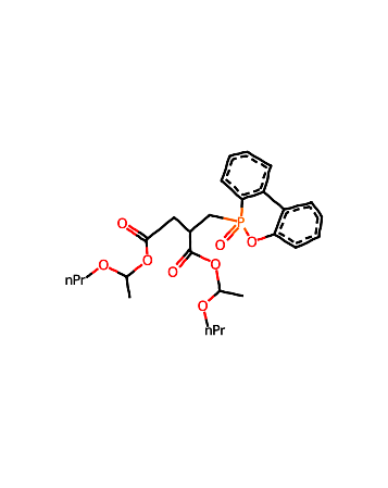 CCCOC(C)OC(=O)CC(CP1(=O)Oc2ccccc2-c2ccccc21)C(=O)OC(C)OCCC